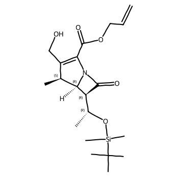 C=CCOC(=O)C1=C(CO)[C@H](C)[C@@H]2[C@H]([C@@H](C)O[Si](C)(C)C(C)(C)C)C(=O)N12